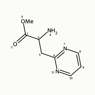 COC(=O)C(N)Cc1ncccn1